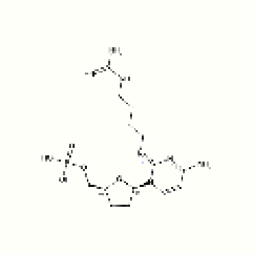 N=C(N)NCCCC/N=c1\nc(N)ccn1[C@H]1CC[C@@H](COP(=O)(O)O)O1